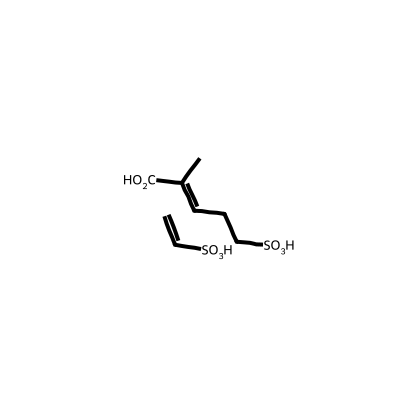 C=CS(=O)(=O)O.CC(=CCCS(=O)(=O)O)C(=O)O